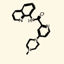 CN1CCN(c2ccnc(C(=O)Nc3cccc4cccnc34)c2)CC1